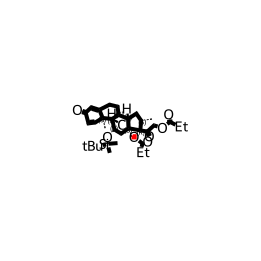 CCC(=O)OCC(=O)[C@@]1(OC(=O)CC)[C@@H](C)C[C@H]2[C@@H]3CCC4=CC(=O)C=C[C@]4(C)[C@@]3(Cl)[C@@H](O[Si](C)(C)C(C)(C)C)C[C@@]21C